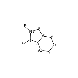 CC1C2OCCCC2CN1C